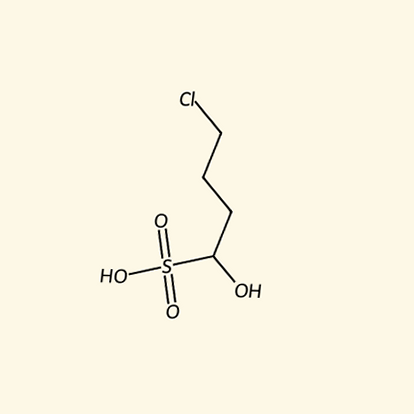 O=S(=O)(O)C(O)CCCCl